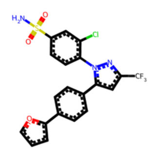 NS(=O)(=O)c1ccc(-n2nc(C(F)(F)F)cc2-c2ccc(-c3ccco3)cc2)c(Cl)c1